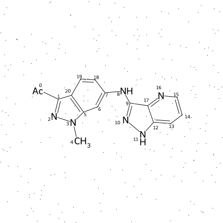 CC(=O)c1nn(C)c2cc(Nc3n[nH]c4cccnc34)ccc12